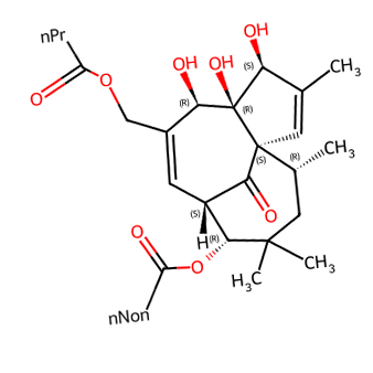 CCCCCCCCCC(=O)O[C@@H]1[C@@H]2C=C(COC(=O)CCC)[C@@H](O)[C@]3(O)[C@@H](O)C(C)=C[C@@]3(C2=O)[C@H](C)CC1(C)C